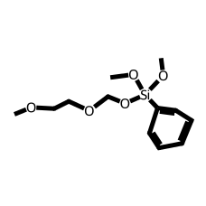 COCCOCO[Si](OC)(OC)c1ccccc1